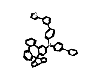 c1ccc(-c2ccc(N(c3ccc(-c4cccc(-c5ccco5)c4)cc3)c3ccc4c(c3)-c3ccccc3-c3ccccc3C43c4ccccc4-c4ccccc43)cc2)cc1